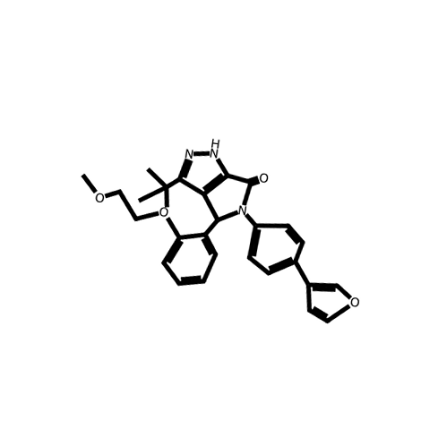 COCCOc1ccccc1C1c2c(C(C)(C)C)n[nH]c2C(=O)N1c1ccc(-c2ccoc2)cc1